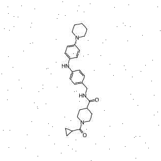 O=C(NCc1ccc(Nc2ccc(N3CCCCC3)cc2)cc1)C1CCN(C(=O)C2CC2)CC1